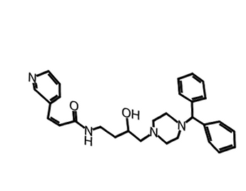 O=C(/C=C\c1cccnc1)NCCC(O)CN1CCN(C(c2ccccc2)c2ccccc2)CC1